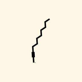 [CH2]C#CCCCCCCCC